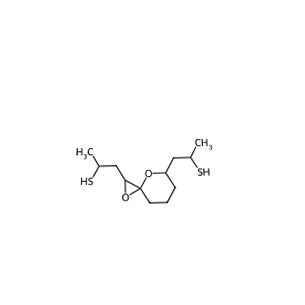 CC(S)CC1CCCC2(O1)OC2CC(C)S